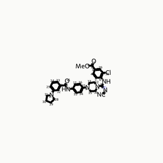 COC(=O)c1ccc(N/C(=N/C#N)N2CCN(c3ccc(NC(=O)c4cccc(N5CCCC5)c4)cc3)CC2)c(Cl)c1